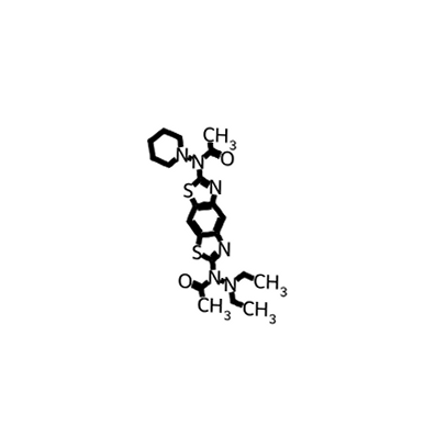 CCN(CC)N(C(C)=O)c1nc2cc3nc(N(C(C)=O)N4CCCCC4)sc3cc2s1